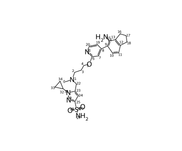 CN(CCCOc1cc(-c2ccc3c(c2N)CCC3)ccn1)Cc1cc(S(N)(=O)=O)nn1C1CC1